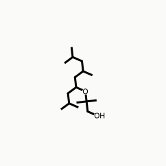 CC(C)CC(C)CC(CC(C)C)OC(C)(C)CO